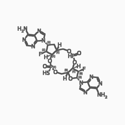 Nc1ncnc2c1ncn2[C@@H]1C[C@@H]2CO[PH](=O)O[C@H]3[C@@H](F)[C@H](n4cnc5c(N)ncnc54)O[C@@H]3CO[P@@](=O)(S)O[C@H]2[C@H]1F